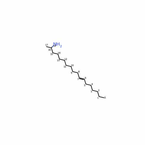 CCCCCCC=CCCCCCCCCC(C)N